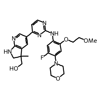 COCCOc1cc(N2CCOCC2)c(F)cc1Nc1nccc(-c2cnc3c(c2)C(C)(CO)CN3)n1